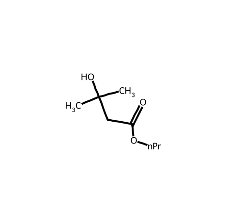 CCCOC(=O)CC(C)(C)O